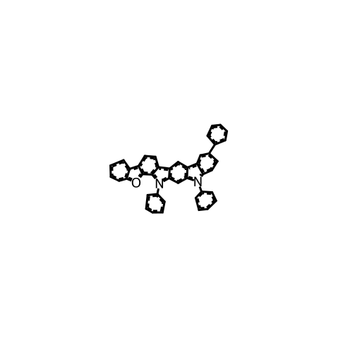 c1ccc(-c2ccc3c(c2)c2cc4c5ccc6c7ccccc7oc6c5n(-c5ccccc5)c4cc2n3-c2ccccc2)cc1